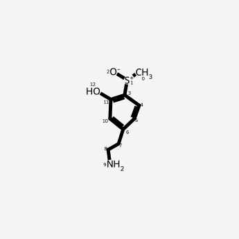 C[S+]([O-])c1ccc(CCN)cc1O